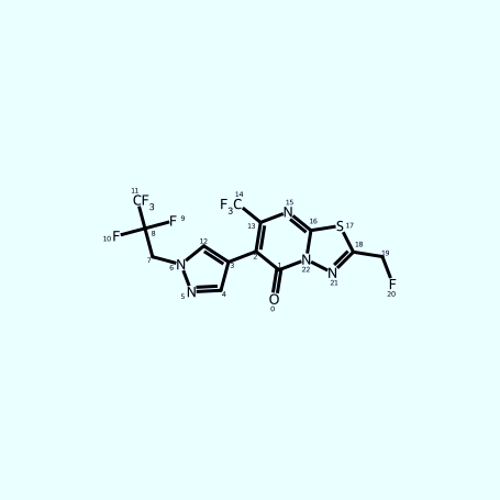 O=c1c(-c2cnn(CC(F)(F)C(F)(F)F)c2)c(C(F)(F)F)nc2sc(CF)nn12